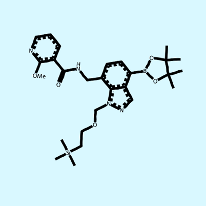 COc1ncccc1C(=O)NCc1ccc(B2OC(C)(C)C(C)(C)O2)c2cnn(COCC[Si](C)(C)C)c12